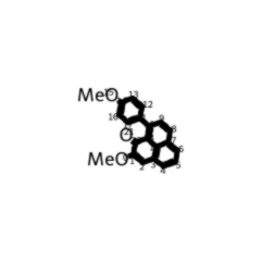 COC1=Cc2cccc3ccc(-c4ccc(OC)cc4)c(c23)C1=O